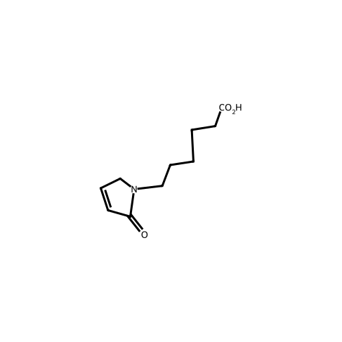 O=C(O)CCCCCN1CC=CC1=O